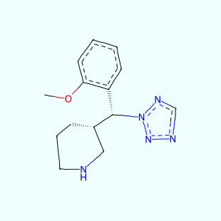 COc1ccccc1[C@@H]([C@H]1CCCNC1)n1ncnn1